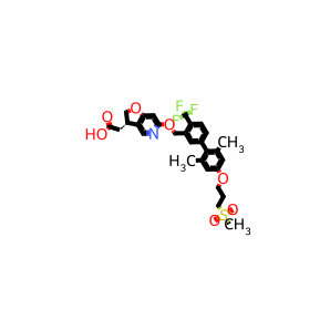 Cc1cc(OCCCS(C)(=O)=O)cc(C)c1-c1ccc(C(F)(F)F)c(COc2cc3c(cn2)[C@H](CC(=O)O)CO3)c1